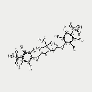 CC(C)(C)N(CCOc1c(F)c(F)c(S(=O)(=O)O)c(F)c1F)CCOc1c(F)c(F)c(S(=O)(=O)O)c(F)c1F